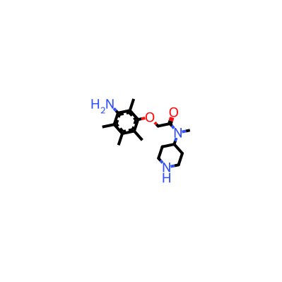 Cc1c(C)c(N)c(C)c(OCC(=O)N(C)C2CCNCC2)c1C